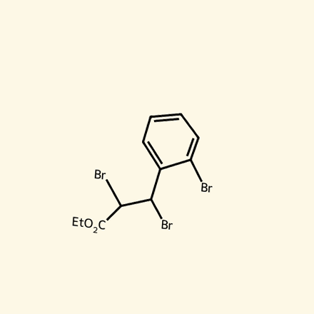 CCOC(=O)C(Br)C(Br)c1ccccc1Br